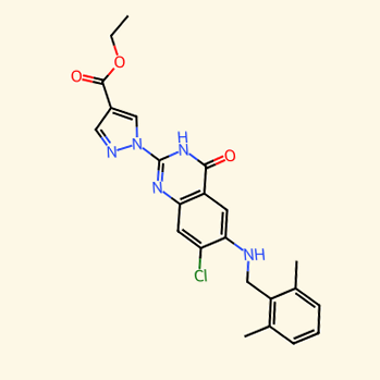 CCOC(=O)c1cnn(-c2nc3cc(Cl)c(NCc4c(C)cccc4C)cc3c(=O)[nH]2)c1